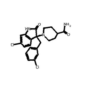 NC(=O)C1CCN(C2(Cc3cccc(Cl)c3)C(=O)Nc3cc(Cl)ccc32)CC1